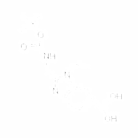 CCn1c(CNC(=O)OC(C)(C)C)nc2ccc(C(O)O)cc21